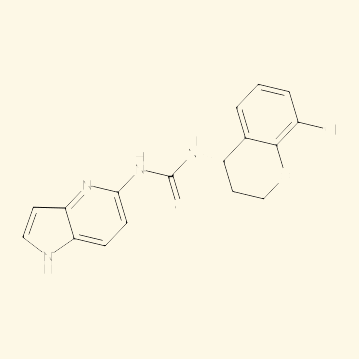 O=C(Nc1ccc2[nH]ccc2n1)N[C@H]1CCOc2c(Cl)cccc21